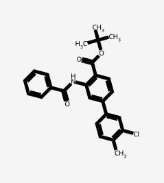 Cc1ccc(-c2ccc(C(=O)OC(C)(C)C)c(NC(=O)c3ccccc3)c2)cc1Cl